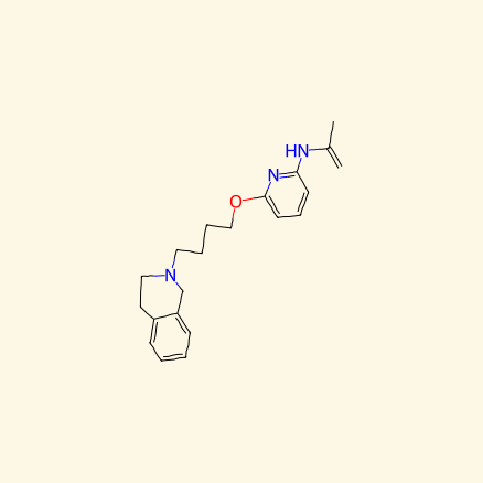 C=C(C)Nc1cccc(OCCCCN2CCc3ccccc3C2)n1